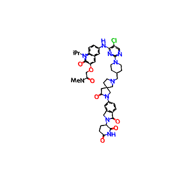 CNC(=O)COc1cc2cc(Nc3nc(N4CCC(CN5CCC6(CC(=O)N(c7ccc8c(c7)CN(C7CCC(=O)NC7=O)C8=O)C6)C5)CC4)ncc3Cl)ccc2n(C(C)C)c1=O